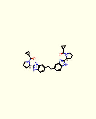 O=C(C1CC1)N1CCC[C@H]1c1nc2cc(CCc3ccc4nc([C@@H]5CCCN5C(=O)C5CC5)[nH]c4c3)ccc2[nH]1